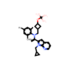 BC(B)(B)OC1CC(CN(C(=C)c2cc3cccnc3n2CC2CC2)c2c(C)cc(C(C)=O)cc2OC)C1